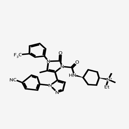 CC[N+](C)(C)[C@H]1CC[C@@H](NC(=O)n2c(-c3ccnn3-c3ccc(C#N)cc3)c(C)n(-c3cccc(C(F)(F)F)c3)c2=O)CC1